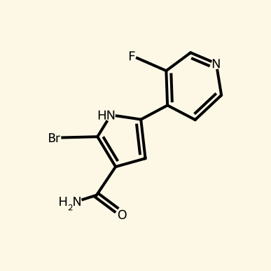 NC(=O)c1cc(-c2ccncc2F)[nH]c1Br